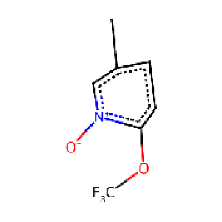 Cc1ccc(OC(F)(F)F)[n+]([O-])c1